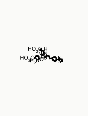 NC(=O)C(CCC(=O)O)NC(=O)C(CCC(=O)O)NC(=O)CCc1ccc(-c2nccs2)cc1